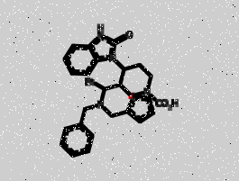 CCC(C1CN(C(=O)O)CCC1n1c(=O)[nH]c2ccccc21)N(Cc1ccccc1)Cc1cccs1